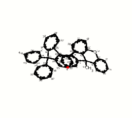 CC1(c2ccccc2)c2ccccc2Oc2cccc(-c3cccc4c3-c3ccccc3C4(c3ccccc3)c3ccccc3)c21